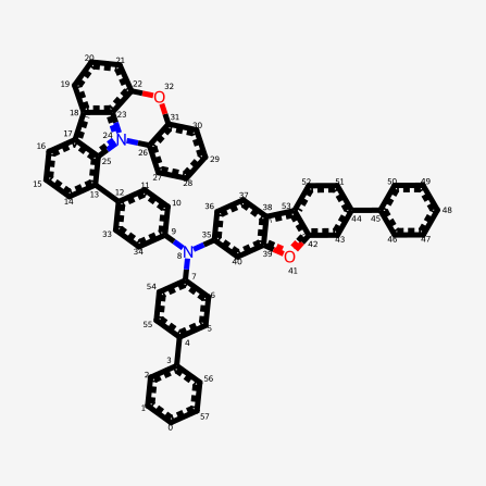 c1ccc(-c2ccc(N(c3ccc(-c4cccc5c6cccc7c6n(c45)-c4ccccc4O7)cc3)c3ccc4c(c3)oc3cc(-c5ccccc5)ccc34)cc2)cc1